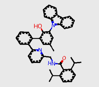 Cc1cc(-c2ccccc2-c2cccc(CNC(=O)c3c(C(C)C)cccc3C(C)C)n2)c(O)c(-n2c3ccccc3c3ccccc32)c1